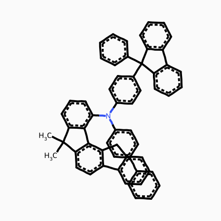 CC1(C)c2cccc(N(c3ccc(-c4ccccc4)cc3)c3ccc(C4(c5ccccc5)c5ccccc5-c5ccccc54)cc3)c2-c2c1ccc1c2Cc2ccccc2-1